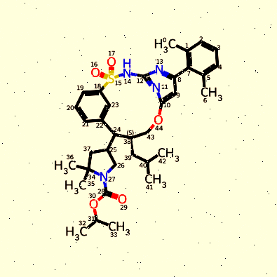 Cc1cccc(C)c1-c1cc2nc(n1)NS(=O)(=O)c1cccc(c1)C(C1CN(C(=O)OC(C)C)C(C)(C)C1)[C@H](CC(C)C)CO2